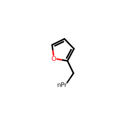 CCCCc1ccco1